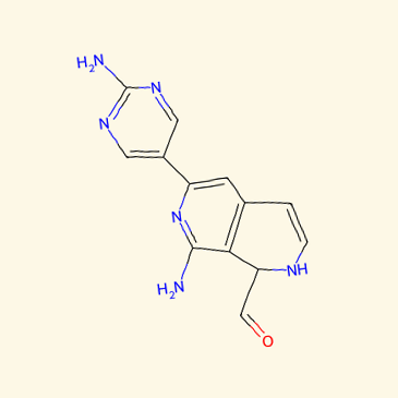 Nc1ncc(-c2cc3c(c(N)n2)C(C=O)NC=C3)cn1